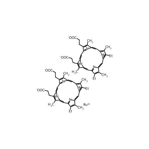 CCC1=C(C)c2cc3[nH]c(cc4nc(cc5[nH]c(cc1n2)c(C)c5CCC(=O)[O-])C(CCC(=O)[O-])=C4C)c(C)c3CC.CCC1=C(C)c2cc3[nH]c(cc4nc(cc5[nH]c(cc1n2)c(C)c5CCC(=O)[O-])C(CCC(=O)[O-])=C4C)c(C)c3CC.[Ru+4]